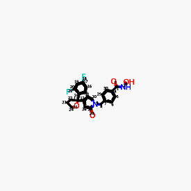 O=C(NO)c1ccc(Cn2ccc(C3(c4ccc(F)cc4F)CCCO3)cc2=O)cc1